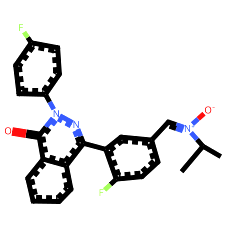 CC(C)/[N+]([O-])=C\c1ccc(F)c(-c2nn(-c3ccc(F)cc3)c(=O)c3ccccc23)c1